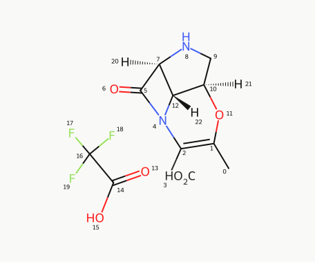 CC1=C(C(=O)O)N2C(=O)[C@H]3NC[C@@H](O1)[C@@H]32.O=C(O)C(F)(F)F